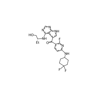 CC[C@H](CO)Nc1ncnc2[nH]cc(C(=O)c3ccc(NC4CCC(F)(F)CC4)nc3F)c12